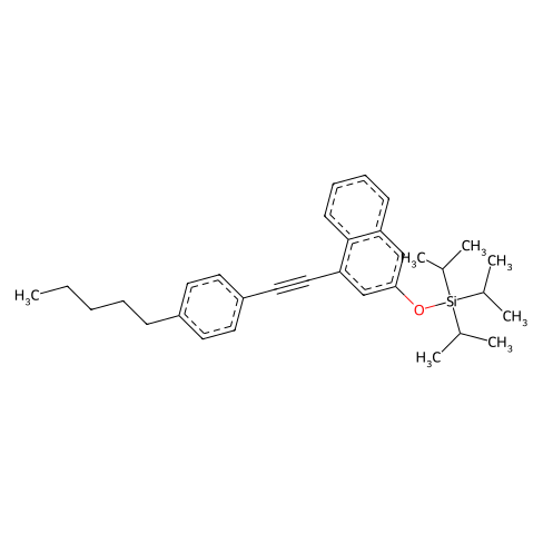 CCCCCc1ccc(C#Cc2cc(O[Si](C(C)C)(C(C)C)C(C)C)cc3ccccc23)cc1